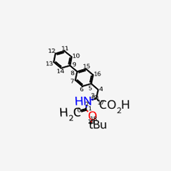 C=C(N[C@@H](Cc1ccc(-c2ccccc2)cc1)C(=O)O)OC(C)(C)C